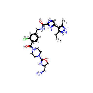 NC[C@@H]1COC(N2CCN(C(=O)c3ccc(CNC(=O)c4ncc(-c5c(C(F)(F)F)n[nH]c5CC(F)(F)F)[nH]4)cc3Cl)CC2)=N1